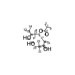 CC(C)C(=O)OCC(C)(C)C(O)C(C)C.CC(C)C(O)C(C)(C)CO